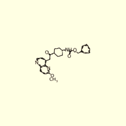 COc1ccc2nccc(CC(=O)C3CCC(NC(=O)OCc4ccccc4)CC3)c2n1